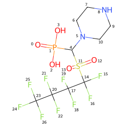 O=P(O)(O)C(N1CCNCC1)S(=O)(=O)C(F)(F)C(F)(F)C(F)(F)C(F)(F)F